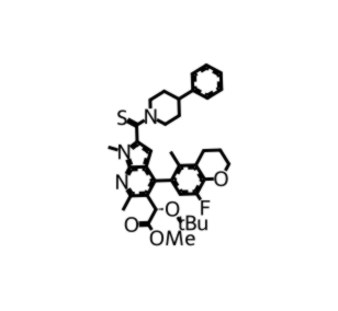 COC(=O)[C@@H](OC(C)(C)C)c1c(C)nc2c(cc(C(=S)N3CCC(c4ccccc4)CC3)n2C)c1-c1cc(F)c2c(c1C)CCCO2